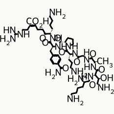 C[C@H](NC(=O)[C@@H](NC(=O)[C@@H](N)CCCCN)[C@@H](O)CN)C(=O)NCC(=O)N[C@H](CCCN)C(=O)N1CCC[C@H]1C(=O)N[C@@H](Cc1ccc(C(N)=O)cc1)C(=O)N[C@@H](CCCCN)C(=O)CC/C(=C\CCNC(=N)N)C(=O)O